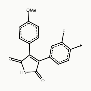 COc1ccc(C2=C(c3ccc(F)c(F)c3)C(=O)NC2=O)cc1